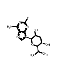 CC(C)[C@H]1O[C@@H](n2cnc3c(N)nc(F)nc32)C(O)C[C@H]1O